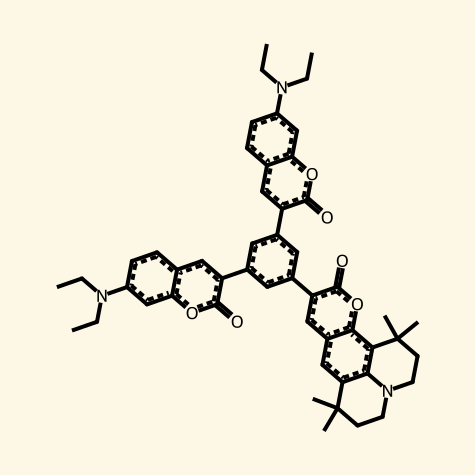 CCN(CC)c1ccc2cc(-c3cc(-c4cc5ccc(N(CC)CC)cc5oc4=O)cc(-c4cc5cc6c7c(c5oc4=O)C(C)(C)CCN7CCC6(C)C)c3)c(=O)oc2c1